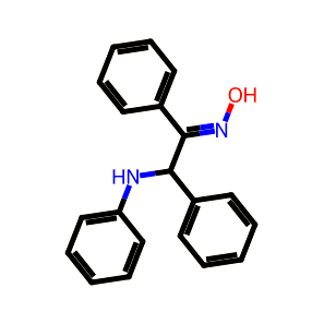 O/N=C(\c1ccccc1)C(Nc1ccccc1)c1ccccc1